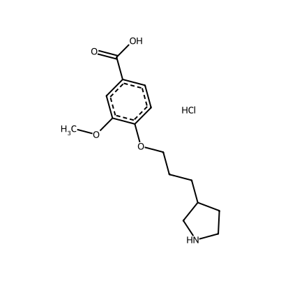 COc1cc(C(=O)O)ccc1OCCCC1CCNC1.Cl